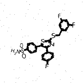 NS(=O)(=O)c1ccc(-c2sc(SCc3cc(F)cc(F)c3)nc2-c2ccc(F)cc2)cc1